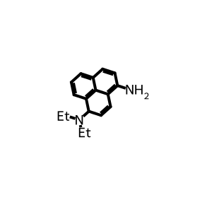 CCN(CC)C1C=Cc2c(N)ccc3cccc1c23